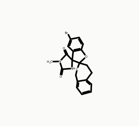 CN1C(=O)NC2(C1=O)c1cc(Br)ccc1OC21CCc2ccccc2CC1